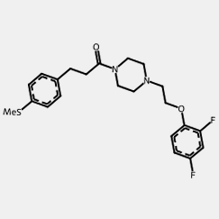 CSc1ccc(CCC(=O)N2CCN(CCOc3ccc(F)cc3F)CC2)cc1